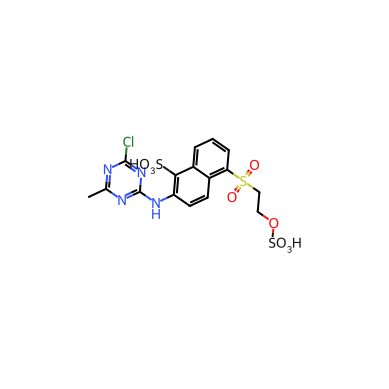 Cc1nc(Cl)nc(Nc2ccc3c(S(=O)(=O)CCOS(=O)(=O)O)cccc3c2S(=O)(=O)O)n1